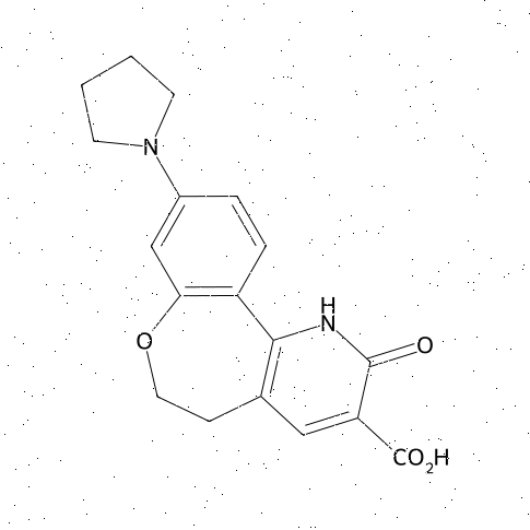 O=C(O)c1cc2c([nH]c1=O)-c1ccc(N3CCCC3)cc1OCC2